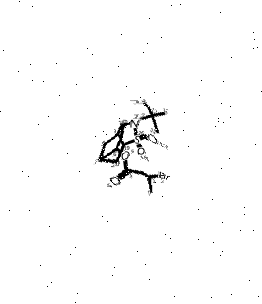 CC(Br)C(=O)OC1C2CC3C1N(C(C)(C)C)S(=O)(=O)C3C2